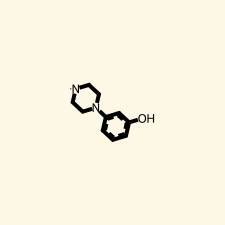 Oc1cccc(N2CC[N]CC2)c1